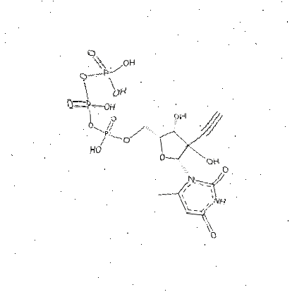 C#CC1(O)[C@@H](O)[C@@H](COP(=O)(O)OP(=O)(O)OP(=O)(O)O)O[C@H]1n1c(C)cc(=O)[nH]c1=O